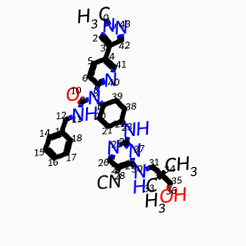 Cn1cc(-c2ccc(N(C(=O)NCc3ccccc3)C3CCC(Nc4ncc(C#N)c(NCC(C)(C)CO)n4)CC3)nc2)cn1